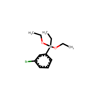 CCO[Si](CC)(OCC)c1cccc(Br)c1